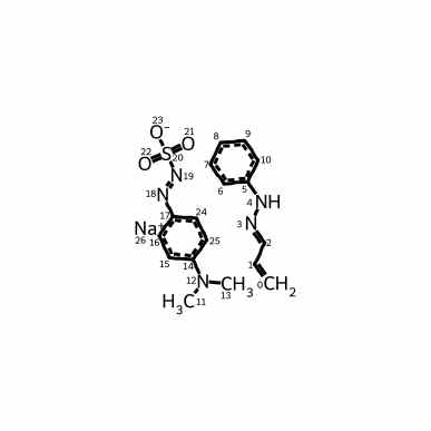 C=CC=NNc1ccccc1.CN(C)c1ccc(N=NS(=O)(=O)[O-])cc1.[Na+]